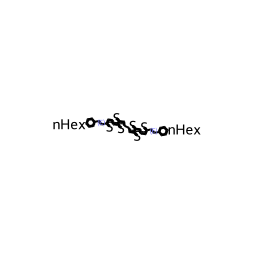 CCCCCCc1ccc(/C=C/c2cc3sc4cc(-c5cc6sc7cc(/C=C/c8ccc(CCCCCC)cc8)sc7c6s5)sc4c3s2)cc1